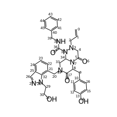 C=CCN1CC(=O)N2C(Cc3ccc(O)cc3)C(=O)N(Cc3cccc4cnn(CCO)c34)CC2N1C(=O)NCc1ccccc1